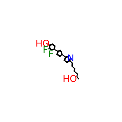 CC(O)CCCC=Cc1ccc(-c2ccc(-c3ccc(O)c(F)c3F)cc2)cn1